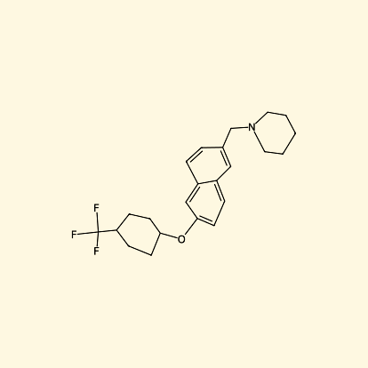 FC(F)(F)C1CCC(Oc2ccc3cc(CN4CCCCC4)ccc3c2)CC1